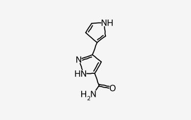 NC(=O)c1cc(-c2cc[nH]c2)n[nH]1